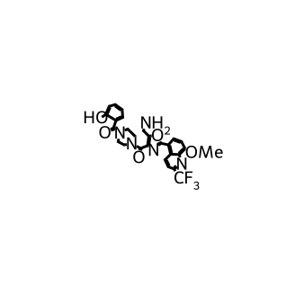 COc1ccc(-c2nc(C(=O)N3CCN(C(=O)c4ccccc4O)CC3)c(CN)o2)c2ccc(C(F)(F)F)nc12